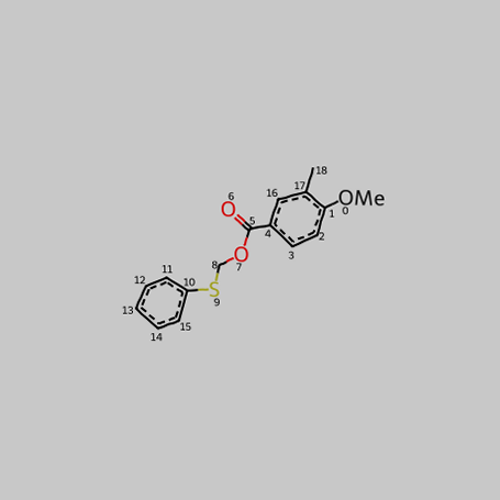 COc1ccc(C(=O)OCSc2ccccc2)cc1C